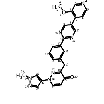 COc1cnccc1-c1cnc(-c2cccc(Cc3nn(-c4cnn(C)c4)ccc3=O)c2)nc1